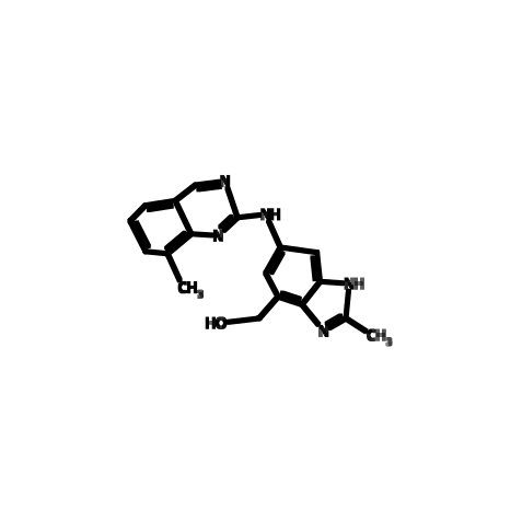 Cc1nc2c(CO)cc(Nc3ncc4cccc(C)c4n3)cc2[nH]1